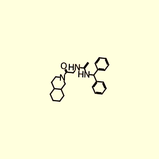 C=C(NCC(=O)N1CCC2CCCCC2C1)NC(c1ccccc1)c1ccccc1